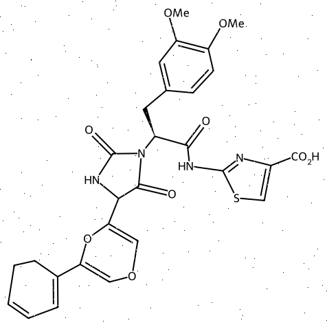 COc1ccc(C[C@@H](C(=O)Nc2nc(C(=O)O)cs2)N2C(=O)NC(C3=COC=C(C4=CC=CCC4)O3)C2=O)cc1OC